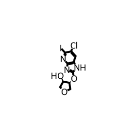 O[C@@H]1COC[C@H]1Oc1nc2nc(I)c(Cl)cc2[nH]1